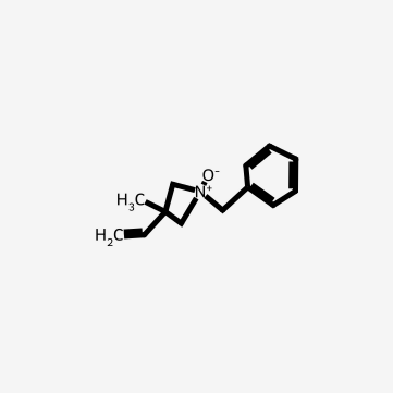 C=CC1(C)C[N+]([O-])(Cc2ccccc2)C1